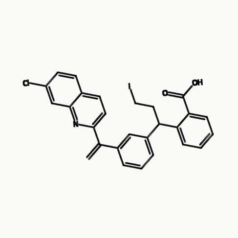 C=C(c1cccc(C(CCI)c2ccccc2C(=O)O)c1)c1ccc2ccc(Cl)cc2n1